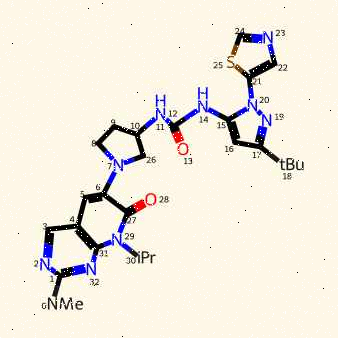 CNc1ncc2cc(N3CCC(NC(=O)Nc4cc(C(C)(C)C)nn4-c4cncs4)C3)c(=O)n(C(C)C)c2n1